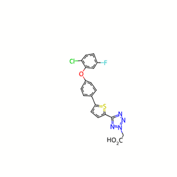 O=C(O)Cn1nnc(-c2ccc(-c3ccc(Oc4cc(F)ccc4Cl)cc3)s2)n1